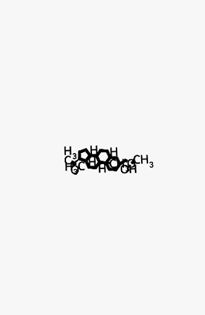 COCC1(O)CC[C@@]2(C)[C@H](CC[C@@H]3[C@@H]2CC[C@]2(C)[C@@H](C(C)=O)CC[C@@H]32)C1